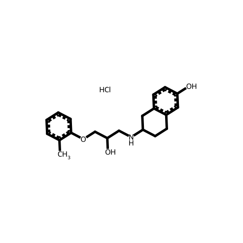 Cc1ccccc1OCC(O)CNC1CCc2cc(O)ccc2C1.Cl